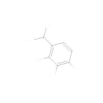 O=C(O)C(C(=O)O)c1ccc(F)c(F)c1F